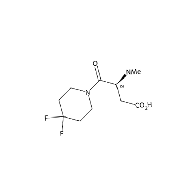 CN[C@@H](CC(=O)O)C(=O)N1CCC(F)(F)CC1